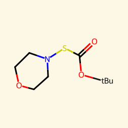 CC(C)(C)OC(=O)SN1CCOCC1